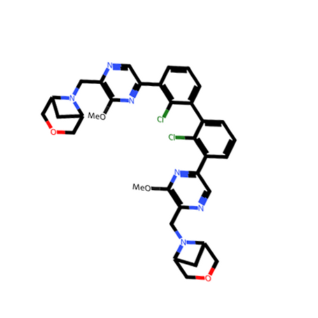 COc1nc(-c2cccc(-c3cccc(-c4cnc(CN5C6COCC5C6)c(OC)n4)c3Cl)c2Cl)cnc1CN1C2COCC1C2